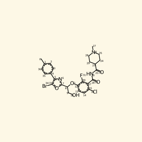 Cc1ccc(-c2nc(C(CO)Oc3ccc(Cl)c(C(=O)NC(=O)C4CCN(C)CC4)c3F)oc2Br)cc1